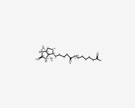 CC(=O)CCCCCNC(=O)CCCC[C@@H]1SC[C@@H]2NC(=O)N[C@@H]21